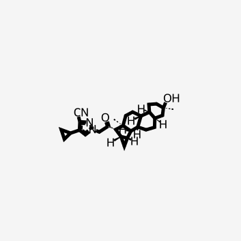 C[C@@]1(O)CC[C@H]2[C@H](CC[C@@H]3[C@@H]2CC[C@@]2(C)[C@H]3[C@@H]3C[C@@H]3[C@@H]2C(=O)Cn2cc(C3CC3)c(C#N)n2)C1